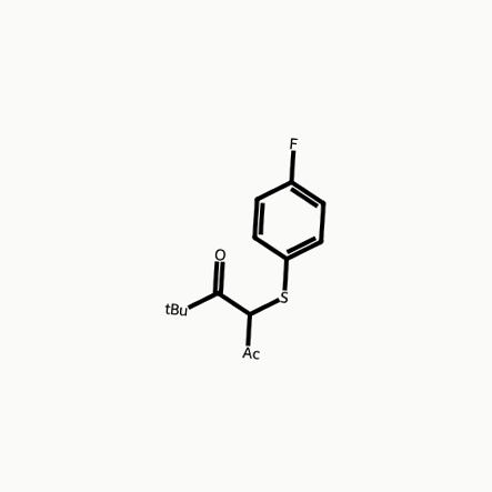 CC(=O)C(Sc1ccc(F)cc1)C(=O)C(C)(C)C